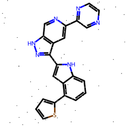 c1csc(-c2cccc3[nH]c(-c4n[nH]c5cnc(-c6cnccn6)cc45)cc23)c1